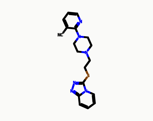 N#Cc1cccnc1N1CCN(CCSc2nnc3ccccn23)CC1